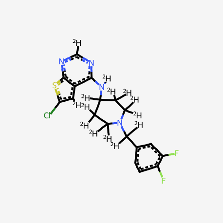 [2H]c1nc(N([2H])C2([2H])C([2H])([2H])C([2H])([2H])N(C([2H])([2H])c3ccc(F)c(F)c3)C([2H])([2H])C2([2H])[2H])c2c([2H])c(Cl)sc2n1